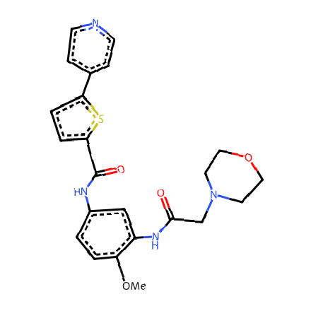 COc1ccc(NC(=O)c2ccc(-c3ccncc3)s2)cc1NC(=O)CN1CCOCC1